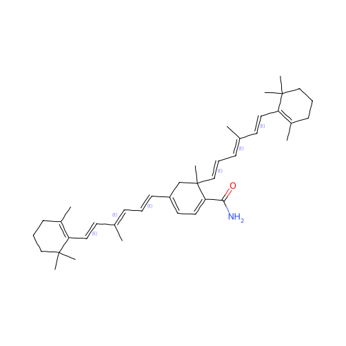 CC1=C(/C=C/C(C)=C/C=C/C2=CC=C(C(N)=O)C(C)(/C=C/C=C(C)/C=C/C3=C(C)CCCC3(C)C)C2)C(C)(C)CCC1